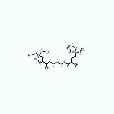 CCCO[Si](CCC(C)SSSSSSC(C)CC[Si](OCCC)(OCCC)OCCC)(OCCC)OCCC